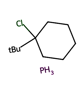 CC(C)(C)C1(Cl)CCCCC1.P